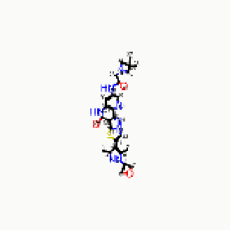 Cc1nn(C2COC2)c(C)c1-c1cn2nc3c4ncc(NC(=O)CN5CC(C)(C)C5)cc4[nH]c(=O)c3c2s1